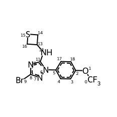 FC(F)(F)Oc1ccc(-n2nc(Br)nc2NC2CSC2)cc1